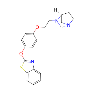 c1ccc2sc(Oc3ccc(OCCN4C[N@@]5CC[C@H]4C5)cc3)nc2c1